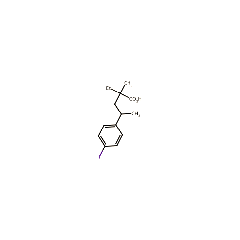 CCC(C)(CC(C)c1ccc(I)cc1)C(=O)O